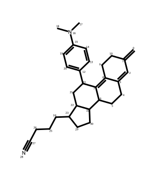 C=C1C=C2CCC3C(=C2CC1)C(c1ccc(N(C)C)cc1)CC1C(CCCC#N)CCC31